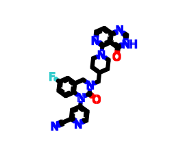 N#Cc1cc(N2C(=O)N(CC3CCN(c4nccc5nc[nH]c(=O)c45)CC3)Cc3cc(F)ccc32)ccn1